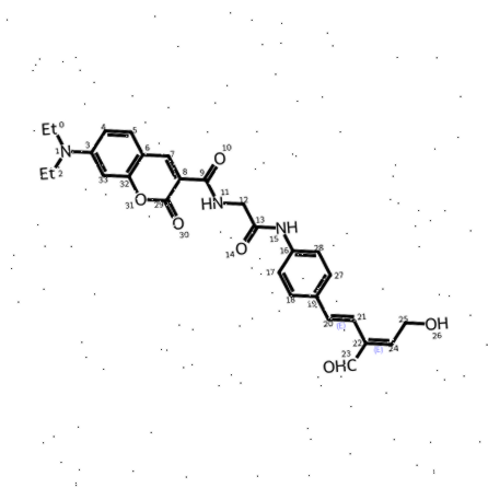 CCN(CC)c1ccc2cc(C(=O)NCC(=O)Nc3ccc(/C=C/C(C=O)=C\CO)cc3)c(=O)oc2c1